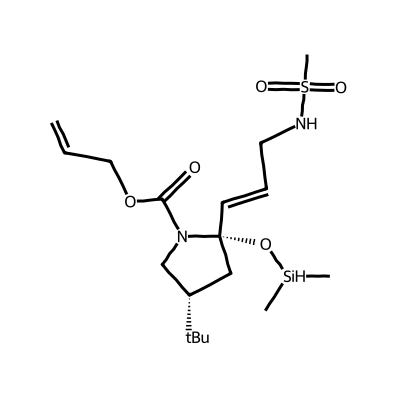 C=CCOC(=O)N1C[C@@H](C(C)(C)C)C[C@@]1(C=CCNS(C)(=O)=O)O[SiH](C)C